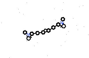 CC12CCCCC1(C)N(c1ccccc1)c1ccc(-c3ccc(-c4ccc5c(c4)Cc4cc(-c6ccc(-c7ccc8c(c7)C7(C)CCCCC7(C)N8c7ccccc7)cc6)ccc4-5)cc3)cc12